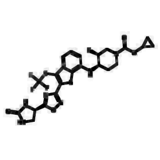 O=C1NC[C@H](c2nc(-c3sc4c(N[C@@H]5CCN(C(=O)OC6CC6)C[C@@H]5F)cccc4c3SC(F)(F)F)no2)N1